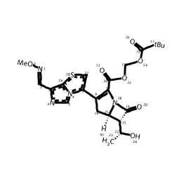 CON=Cc1ncn2c(C3=C(C(=O)OCOC(=O)C(C)(C)C)N4C(=O)[C@H]([C@@H](C)O)[C@H]4C3)csc12